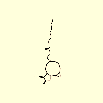 C=C1C(=O)O[C@H]2[C@H]1CC/C(COC(=O)OCCCCCCO)=C\CC[C@@]1(C)O[C@@H]21